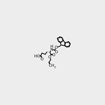 C=CCOC(=O)[C@H](CCCC(=O)O)NC(=O)OCC1c2ccccc2-c2ccccc21